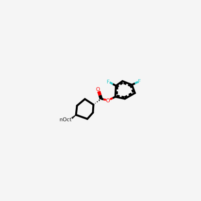 CCCCCCCC[C@H]1CC[C@H](C(=O)Oc2ccc(F)cc2F)CC1